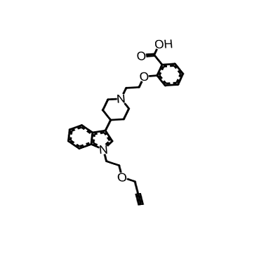 C#CCOCCn1cc(C2CCN(CCOc3ccccc3C(=O)O)CC2)c2ccccc21